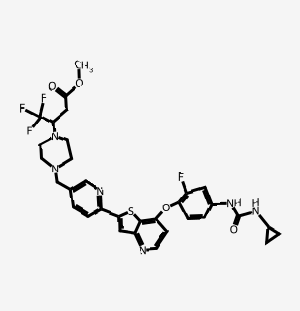 COC(=O)CC(N1CCN(Cc2ccc(-c3cc4nccc(Oc5ccc(NC(=O)NC6CC6)cc5F)c4s3)nc2)CC1)C(F)(F)F